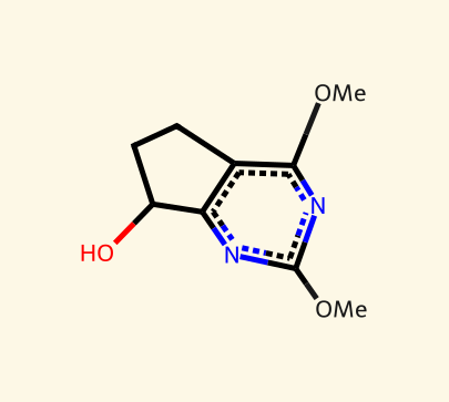 COc1nc(OC)c2c(n1)C(O)CC2